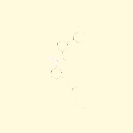 NN(C(=O)c1cc(C2=CCCC(F)=C2)ccc1F)c1cccc(OCC(=O)OCCO)c1